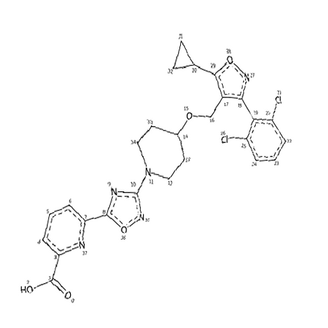 O=C(O)c1cccc(-c2nc(N3CCC(OCc4c(-c5c(Cl)cccc5Cl)noc4C4CC4)CC3)no2)n1